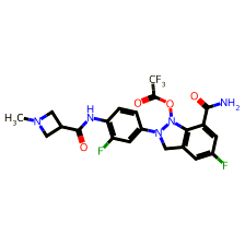 CN1CC(C(=O)Nc2ccc(N3Cc4cc(F)cc(C(N)=O)c4N3OC(=O)C(F)(F)F)cc2F)C1